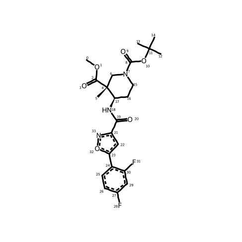 COC(=O)[C@]1(C)CN(C(=O)OC(C)(C)C)CC[C@H]1NC(=O)c1cc(-c2ccc(F)cc2F)on1